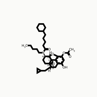 CCCCCN(C(=O)CCCCC1CCCCC1)[C@@H]1CC[C@H]2[C@H]3Cc4c(O)cc(OC(C)=O)c5c4[C@@]2(CCN3CC2CC2)[C@H]1O5